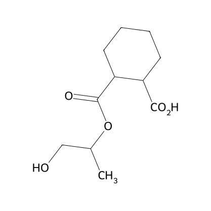 CC(CO)OC(=O)C1CCCCC1C(=O)O